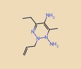 C=CCN1N=C(CC)C(N)=C(C)N1N